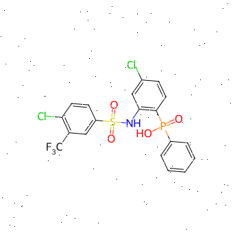 O=P(O)(c1ccccc1)c1ccc(Cl)cc1NS(=O)(=O)c1ccc(Cl)c(C(F)(F)F)c1